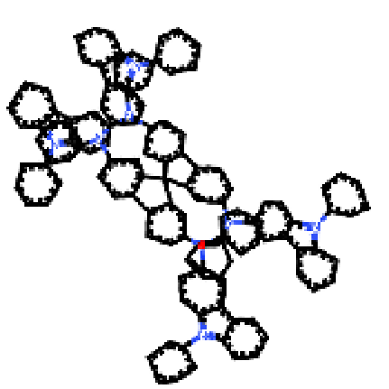 C1=CCCC(N(c2ccc3c(c2)C2(c4cc(N(c5ccccc5)c5ccc6c(c5)c5ccccc5n6-c5ccccc5)ccc4-3)c3cc(N(c4ccccc4)c4ccc5c(c4)c4ccccc4n5-c4ccccc4)ccc3-c3ccc(N(c4ccccc4)c4ccc5c(c4)c4ccccc4n5-c4ccccc4)cc32)c2ccc3c(c2)c2ccccc2n3-c2ccccc2)=C1